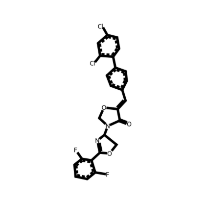 O=C1C(=Cc2ccc(-c3ccc(Cl)cc3Cl)cc2)OCN1C1COC(c2c(F)cccc2F)=N1